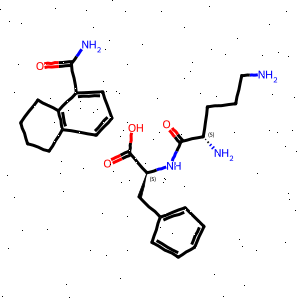 NC(=O)c1cccc2c1CCCC2.NCCC[C@H](N)C(=O)N[C@@H](Cc1ccccc1)C(=O)O